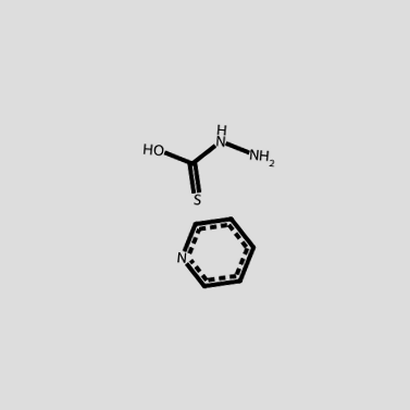 NNC(O)=S.c1ccncc1